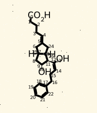 O=C(O)CCC/C=C1\C[C@H]2C[C@@H](O)[C@H](/C(O)=C\CCc3ccccc3)[C@H]2C1